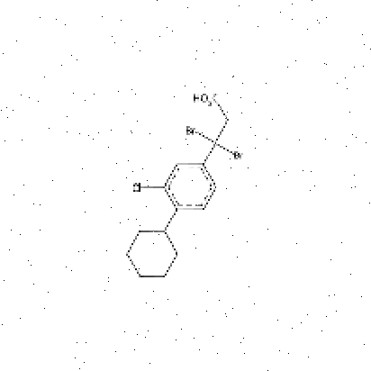 O=C(O)CC(Br)(Br)c1ccc(C2CCCCC2)c(Cl)c1